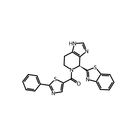 O=C(c1cnc(-c2ccccc2)s1)N1CCc2[nH]cnc2[C@H]1c1nc2ccccc2s1